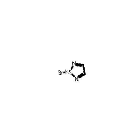 Br[SH]1N=CC=N1